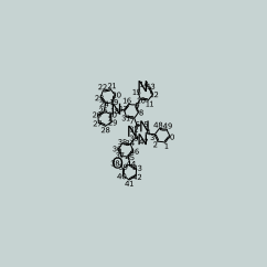 c1ccc(-c2nc(-c3cc(-c4cccnc4)cc(-n4c5ccccc5c5ccccc54)c3)nc(-c3ccc4oc5ccccc5c4c3)n2)cc1